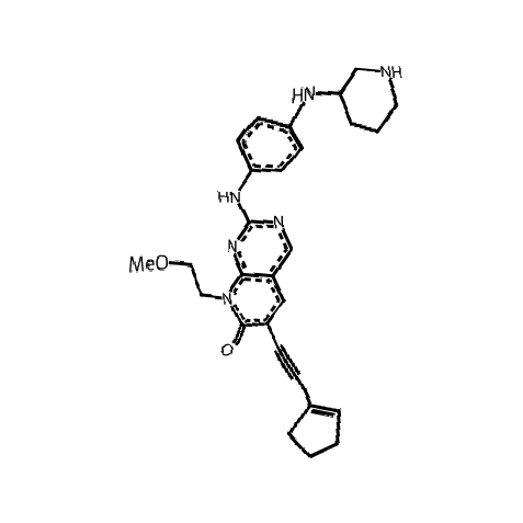 COCCn1c(=O)c(C#CC2=CCCC2)cc2cnc(Nc3ccc(NC4CCCNC4)cc3)nc21